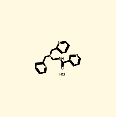 Cl.O=C(NCN(Cc1ccccn1)Cc1ccccn1)c1cccnc1